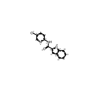 O=C(Nc1ccc(Cl)cn1)c1cc2ccccc2o1